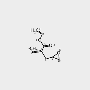 C=COC(=O)C(=CC)CC1CO1